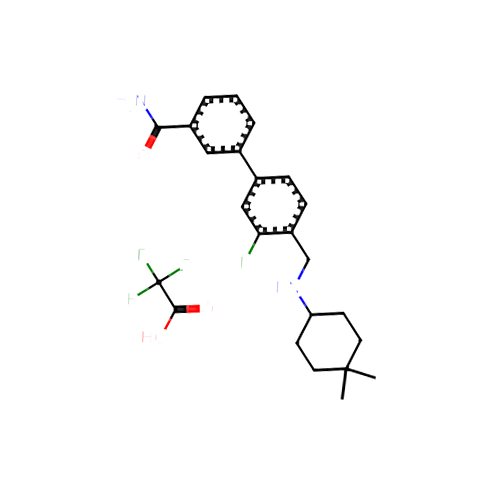 CC1(C)CCC(NCc2ccc(-c3cccc(C(N)=O)c3)cc2F)CC1.O=C(O)C(F)(F)F